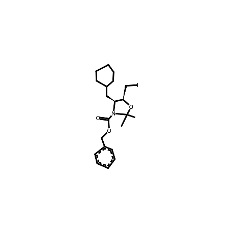 CC1(C)O[C@H](CI)[C@H](CC2CCCCC2)N1C(=O)OCc1ccccc1